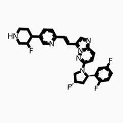 Fc1ccc(F)c([C@H]2C[C@H](F)CN2c2ccc3ncc(/C=C/c4ccc(C5CCNCC5F)cn4)n3n2)c1